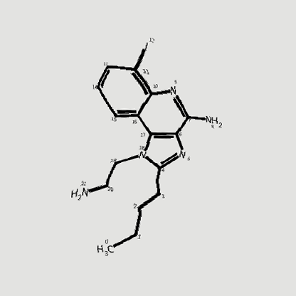 CCCCc1nc2c(N)nc3c(I)cccc3c2n1CCN